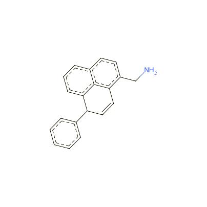 NCc1ccc2cccc3c2c1C=CC3c1cc[c]cc1